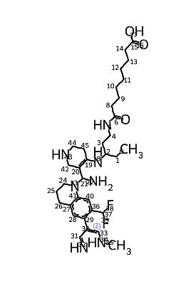 CCC(CCNC(=O)CCCCCCCC(=O)O)NC1=C(C(N)N2CCCc3cc(/C(C=N)=C/NC)c(C(F)F)cc32)CNCC1